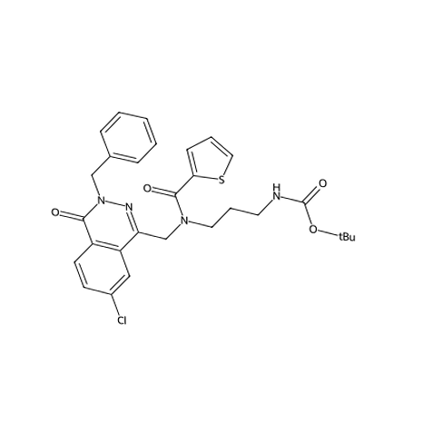 CC(C)(C)OC(=O)NCCCN(Cc1nn(Cc2ccccc2)c(=O)c2ccc(Cl)cc12)C(=O)c1cccs1